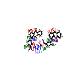 CC(OC(=O)NCNC(=O)OC(C)c1c(Br)cc(Br)c(Nc2ccc(O)c3c2C(=O)c2ccccc2C3=O)c1Br)c1cc(Nc2ccc(O)c3c2C(=O)c2ccccc2C3=O)c(Br)cc1Br